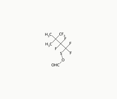 CC(C)(C(F)(F)F)C(F)(F)C(F)(F)SOC=O